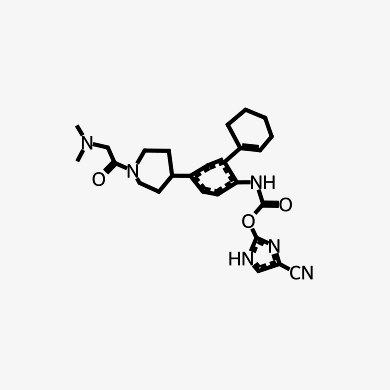 CN(C)CC(=O)N1CCC(c2ccc(NC(=O)Oc3nc(C#N)c[nH]3)c(C3=CCCCC3)c2)CC1